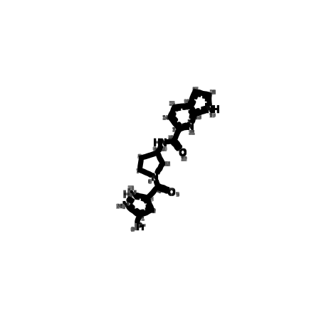 CC(C)c1cc(C(=O)N2CCC(NC(=O)c3ccc4cc[nH]c4n3)C2)[nH]n1